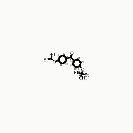 CCC(CC)Oc1ccc(C(=O)c2ccc(OC(C)(CC)CC)cc2)cc1